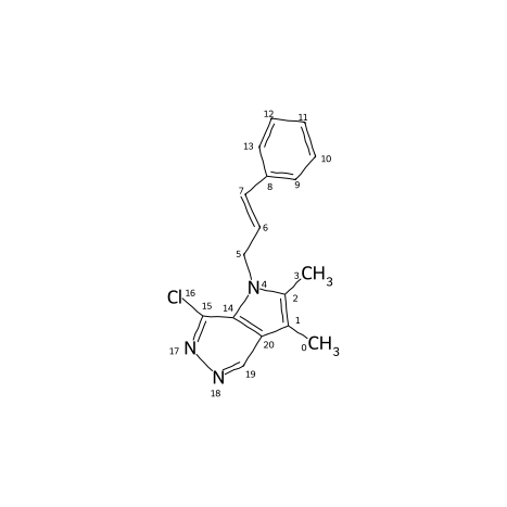 Cc1c(C)n(CC=Cc2ccccc2)c2c(Cl)nncc12